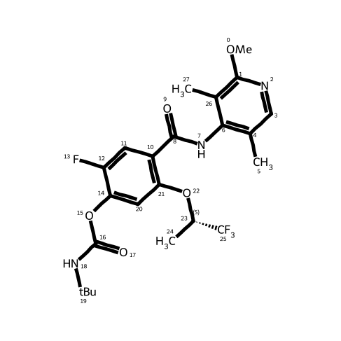 COc1ncc(C)c(NC(=O)c2cc(F)c(OC(=O)NC(C)(C)C)cc2O[C@@H](C)C(F)(F)F)c1C